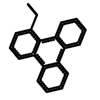 CCc1cccc2c3ccccc3c3ccccc3c12